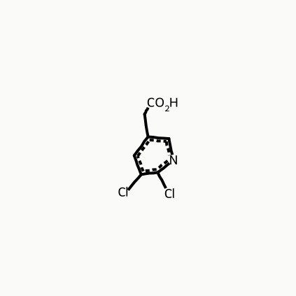 O=C(O)Cc1cnc(Cl)c(Cl)c1